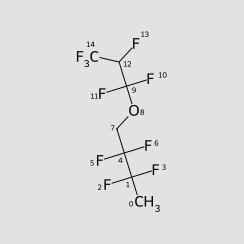 CC(F)(F)C(F)(F)COC(F)(F)C(F)C(F)(F)F